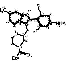 CCC(=O)N1CCO[C@@H](Cc2c(-c3c(F)cc(NC(C)=O)cc3F)nc3cc(C)ccn23)C1